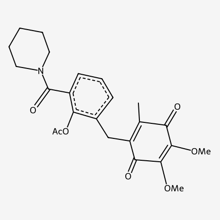 COC1=C(OC)C(=O)C(Cc2cccc(C(=O)N3CCCCC3)c2OC(C)=O)=C(C)C1=O